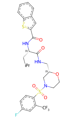 CC(C)C[C@H](NC(=O)c1cc2ccccc2s1)C(=O)NC[C@H]1CN(S(=O)(=O)c2ccc(F)cc2C(F)(F)F)CCO1